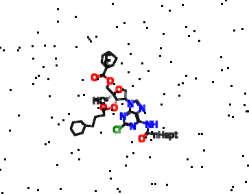 C#C[C@]1(COC(=O)C23CCC(CC2)CC3)OCC(n2cnc3c(NC(=O)CCCCCCC)nc(Cl)nc32)[C@@H]1OC(=O)CCCC1CCCCC1